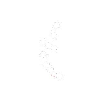 CC1(C)c2ccc(-c3c4ccccc4c(-c4ccc5c(c4)sc4ccccc45)c4ccccc34)cc2-c2cc3cc4c(cc3cc21)oc1ccccc14